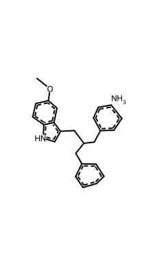 COc1ccc2[nH]cc(CC(Cc3ccccc3)Cc3ccccc3)c2c1.N